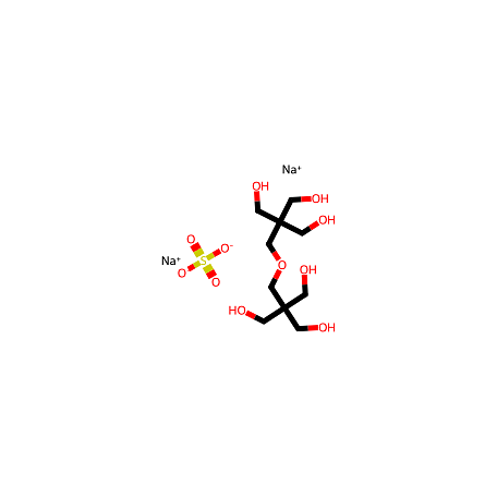 O=S(=O)([O-])[O-].OCC(CO)(CO)COCC(CO)(CO)CO.[Na+].[Na+]